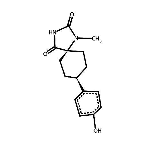 CN1C(=O)NC(=O)[C@]12CC[C@H](c1ccc(O)cc1)CC2